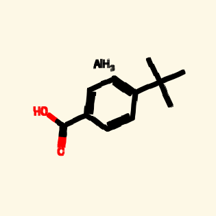 CC(C)(C)c1ccc(C(=O)O)cc1.[AlH3]